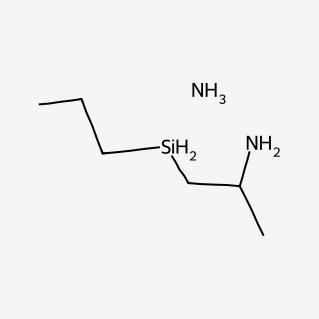 CCC[SiH2]CC(C)N.N